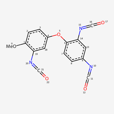 COc1ccc(Oc2ccc(N=C=O)cc2N=C=O)cc1N=C=O